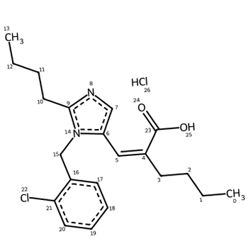 CCCCC(=Cc1cnc(CCCC)n1Cc1ccccc1Cl)C(=O)O.Cl